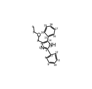 CCOCc1nc(-c2ccccc2)[nH]c1-c1ccccc1